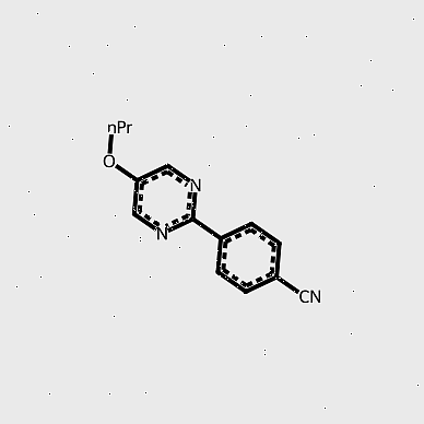 CCCOc1cnc(-c2ccc(C#N)cc2)nc1